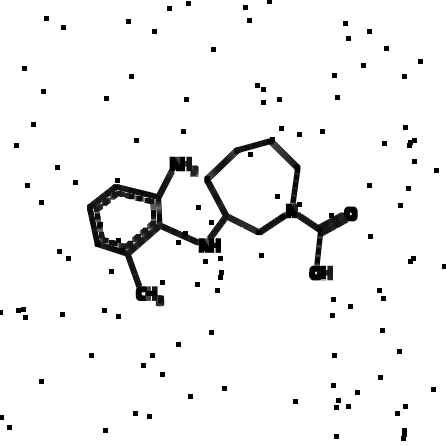 Cc1cccc(N)c1NC1CCCCN(C(=O)O)C1